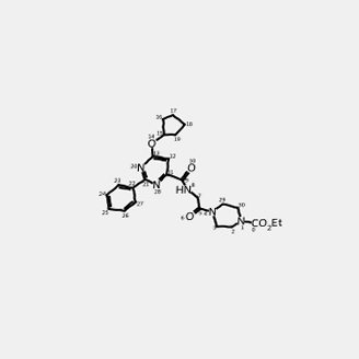 CCOC(=O)N1CCN(C(=O)CNC(=O)c2cc(OC3CCCC3)nc(-c3ccccc3)n2)CC1